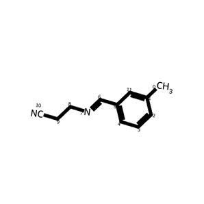 Cc1cccc(/C=N/CCC#N)c1